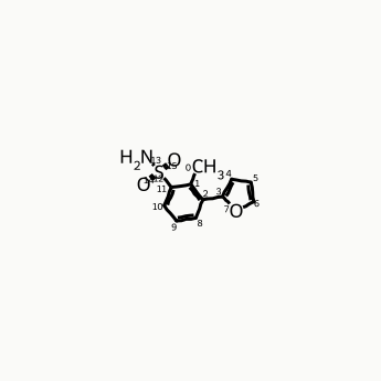 Cc1c(-c2ccco2)cccc1S(N)(=O)=O